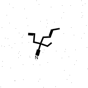 C=CCC(C#N)(CC)CC=CC